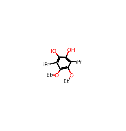 CCOc1c(OCC)c(C(C)C)c(O)c(O)c1C(C)C